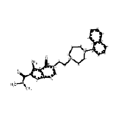 Cc1c(C(=O)N(C)C)sc2ncn(CCN3CCCN(c4cccc5ccccc45)CC3)c(=O)c12